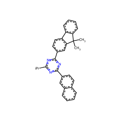 CC(C)c1nc(-c2ccc3c(c2)C(C)(C)c2ccccc2-3)nc(-c2ccc3ccccc3c2)n1